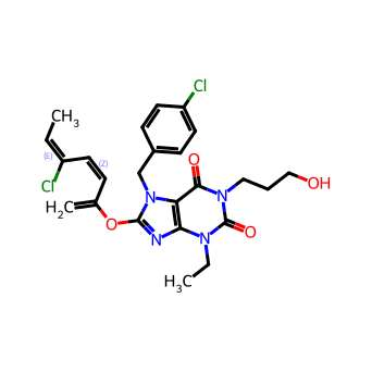 C=C(/C=C\C(Cl)=C/C)Oc1nc2c(c(=O)n(CCCO)c(=O)n2CC)n1Cc1ccc(Cl)cc1